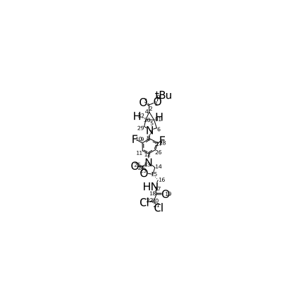 CC(C)(C)OC(=O)C1[C@H]2CN(c3c(F)cc(N4C[C@H](CNC(=O)C(Cl)Cl)OC4=O)cc3F)C[C@@H]12